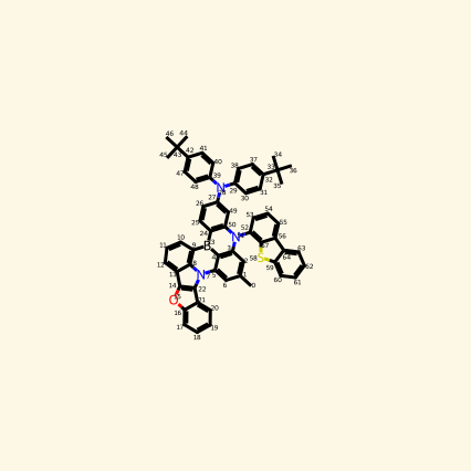 Cc1cc2c3c(c1)-n1c4c(cccc4c4oc5ccccc5c41)B3c1ccc(N(c3ccc(C(C)(C)C)cc3)c3ccc(C(C)(C)C)cc3)cc1N2c1cccc2c1sc1ccccc12